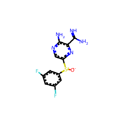 N=C(N)c1nc([S+]([O-])c2cc(F)cc(F)c2)cnc1N